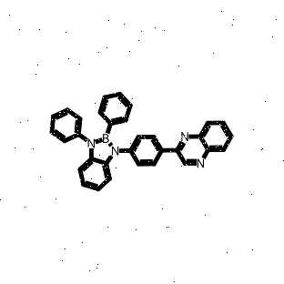 c1ccc(B2N(c3ccccc3)c3ccccc3N2c2ccc(-c3cnc4ccccc4n3)cc2)cc1